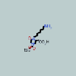 CC(C)(C)OC(=O)N1CC(=O)N(CCCCCCCN)[C@@H](CC(=O)O)C1